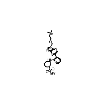 CCCS(=O)(=O)N1CCC[C@H](Nc2ncccc2-c2cnc3c(ncn3COCC[Si](C)(C)C)n2)C1